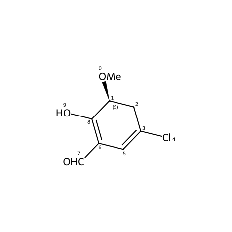 CO[C@H]1CC(Cl)=CC(C=O)=C1O